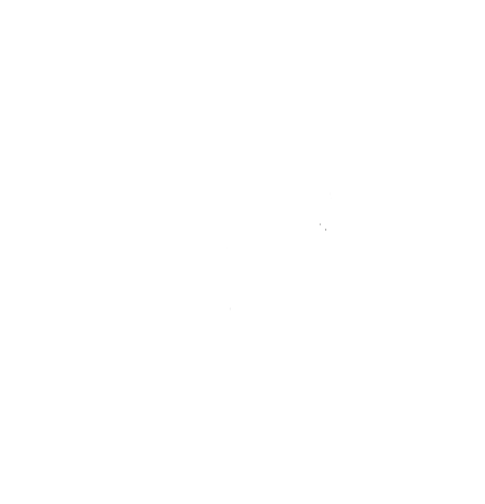 C=CCc1ccc([N+](=O)[O-])cc1Cl